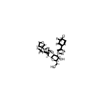 CO[C@@H]1[C@@H](n2cc(-c3ccc(Cl)c(F)c3F)nn2)[C@@H](O)[C@@H](CO)O[C@@H]1Cc1cn([C@]2(C(F)(F)F)CCOC2)nn1